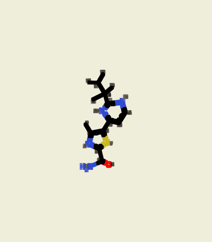 Cc1nc(C(N)=O)sc1-c1ccnc(C(C)(C)C(C)C)n1